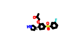 CC(=O)COc1cc(S(=O)(=O)c2cccc(F)c2)ccc1[C@@H]1CCNC1